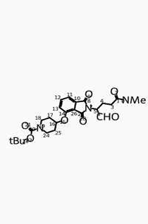 CNC(=O)CCC(C=O)N1C(=O)c2cccc(OC3CCN(C(=O)OC(C)(C)C)CC3)c2C1=O